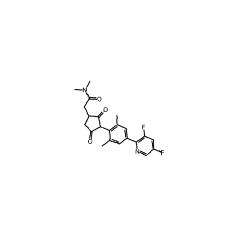 Cc1cc(-c2ncc(F)cc2F)cc(C)c1C1C(=O)CC(CC(=O)N(C)C)C1=O